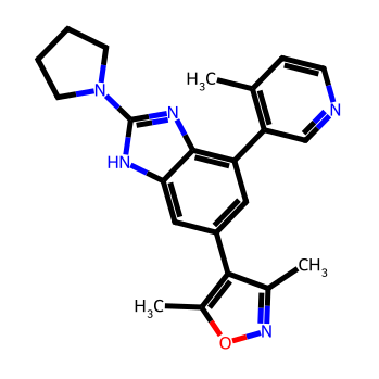 Cc1ccncc1-c1cc(-c2c(C)noc2C)cc2[nH]c(N3CCCC3)nc12